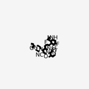 C=CC(=O)N1CCN(c2c(C#N)c(=O)n(-c3c(C)ccnc3C(C)C)c3nc(-c4c(Cl)c(F)cc5[nH]ncc45)c(F)cc23)CC1